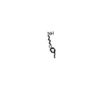 CCCc1ccc(OCCCCCCNC)cc1